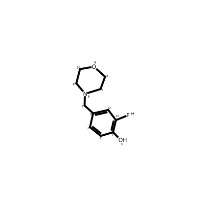 Oc1ccc(CN2CCOCC2)cc1F